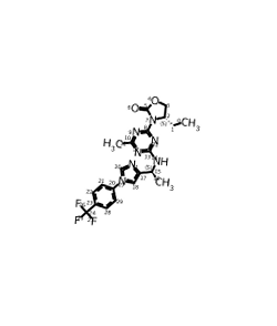 CC[C@H]1COC(=O)N1c1nc(C)nc(N[C@@H](C)c2cn(-c3ccc(C(F)(F)F)cc3)cn2)n1